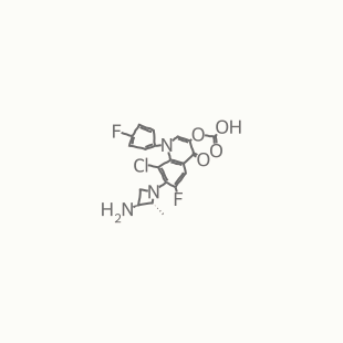 C[C@@H]1[C@@H](N)CN1c1c(F)cc2c(=O)c(OC(=O)O)cn(-c3ccc(F)cc3)c2c1Cl